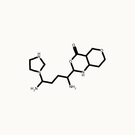 NC(CCC(N)N1CCNC1)C1NC2CCOCC2C(=O)O1